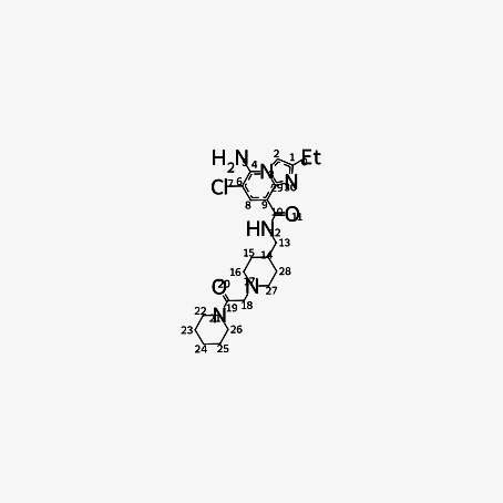 CCc1cn2c(N)c(Cl)cc(C(=O)NCC3CCN(CC(=O)N4CCCCC4)CC3)c2n1